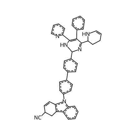 N#CC1C=Cc2c(c3ccccc3n2-c2ccc(-c3ccc(C4N=C(C5CCC=CN5)C(c5ccccc5)=C(c5ccccn5)N4)cc3)cc2)C1